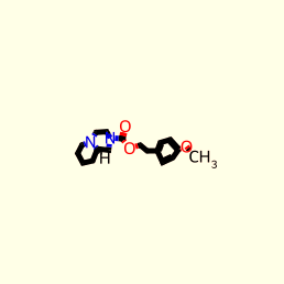 COc1ccc(CCOC(=O)N2CCN3CCCC[C@H]3C2)cc1